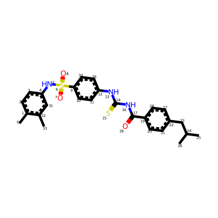 Cc1ccc(NS(=O)(=O)c2ccc(NC(=S)NC(=O)c3ccc(CC(C)C)cc3)cc2)cc1C